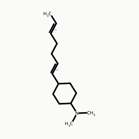 C/C=C/CC/C=C/C1CCC(N(C)C)CC1